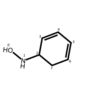 ONC1C=CC=CC1